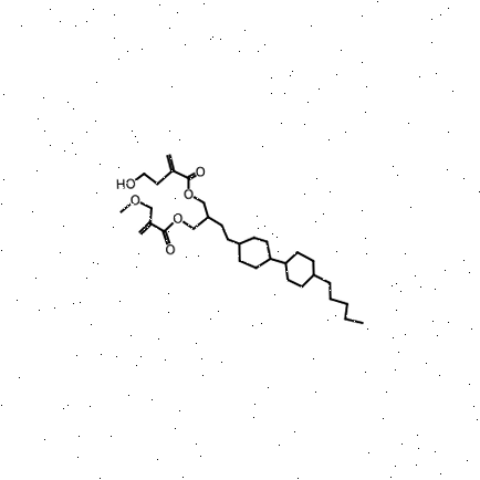 C=C(CCO)C(=O)OCC(CCC1CCC(C2CCC(CCCCC)CC2)CC1)COC(=O)C(=C)COC